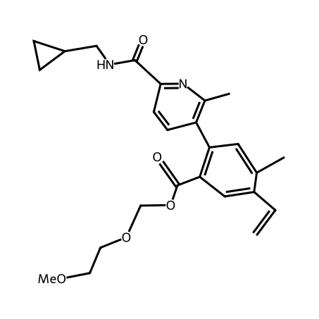 C=Cc1cc(C(=O)OCOCCOC)c(-c2ccc(C(=O)NCC3CC3)nc2C)cc1C